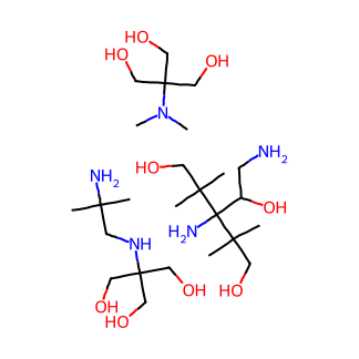 CC(C)(CO)C(N)(C(O)CN)C(C)(C)CO.CC(C)(N)CNC(CO)(CO)CO.CN(C)C(CO)(CO)CO